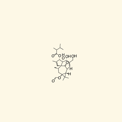 CC1=C[C@]23C(=O)[C@@H](C=C(CO)[C@@H](O)[C@]2(O)[C@H]1OC(=O)C(C)C(C)C)[C@@H]1C(C)(C)[C@]1(OC=O)C[C@H]3C